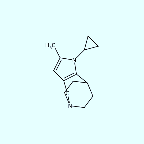 Cc1cc2c(n1C1CC1)C1CCN(CC1)C2